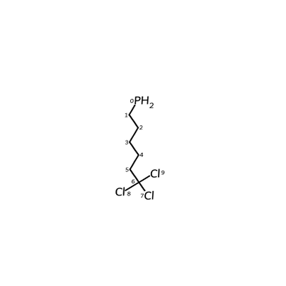 PCCCCCC(Cl)(Cl)Cl